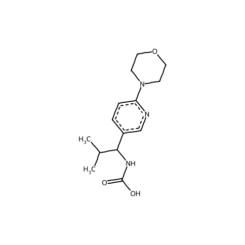 CC(C)C(NC(=O)O)c1ccc(N2CCOCC2)nc1